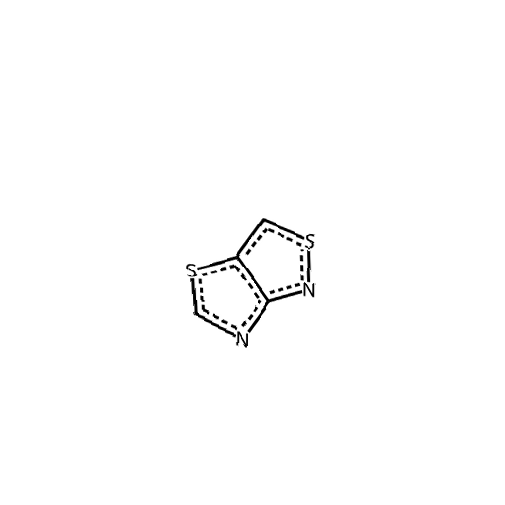 c1nc2nscc2s1